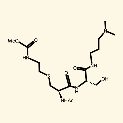 COC(=O)NCCSC[C@H](NC(C)=O)C(=O)N[C@@H](CO)C(=O)NCCCN(C)C